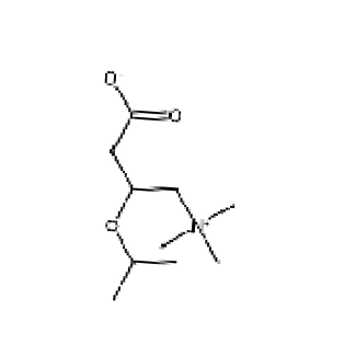 CC(C)OC(CC(=O)[O-])C[N+](C)(C)C